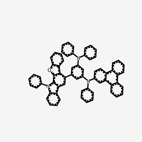 c1ccc(N(c2ccccc2)c2cc(-c3cc4c5ccccc5n(-c5ccccc5)c4c4oc5ccccc5c34)cc(N(c3ccccc3)c3ccc4c5ccccc5c5ccccc5c4c3)c2)cc1